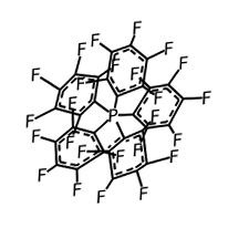 Fc1c(F)c(F)c(P(c2c(F)c(F)c(F)c(F)c2F)(c2c(F)c(F)c(F)c(F)c2F)(c2c(F)c(F)c(F)c(F)c2F)c2c(F)c(F)c(F)c(F)c2F)c(F)c1F